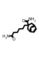 NC(=O)CCCCCC1(C(N)=O)Cc2ccc(cc2)C1